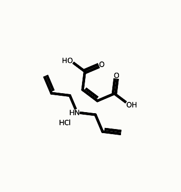 C=CCNCC=C.Cl.O=C(O)/C=C\C(=O)O